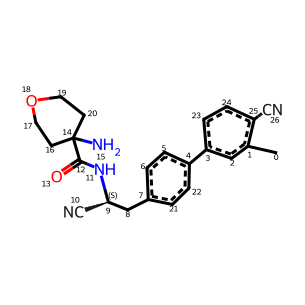 Cc1cc(-c2ccc(C[C@@H](C#N)NC(=O)C3(N)CCOCC3)cc2)ccc1C#N